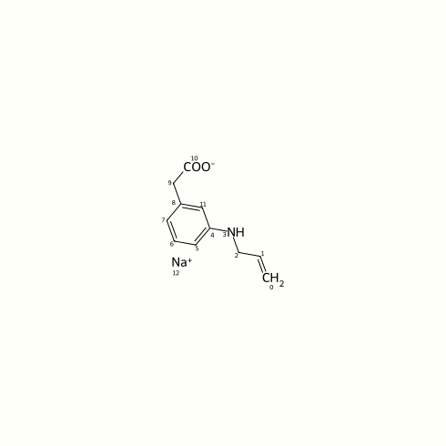 C=CCNc1cccc(CC(=O)[O-])c1.[Na+]